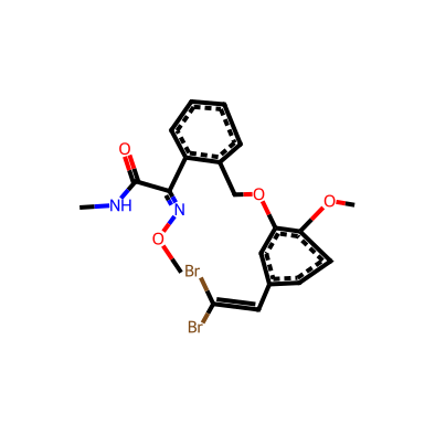 CNC(=O)C(=NOC)c1ccccc1COc1cc(C=C(Br)Br)ccc1OC